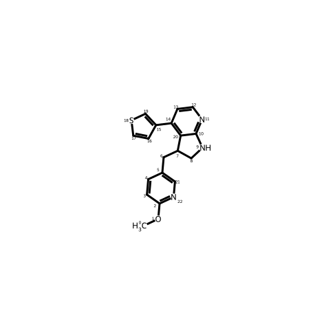 COc1ccc(CC2CNc3nccc(-c4ccsc4)c32)cn1